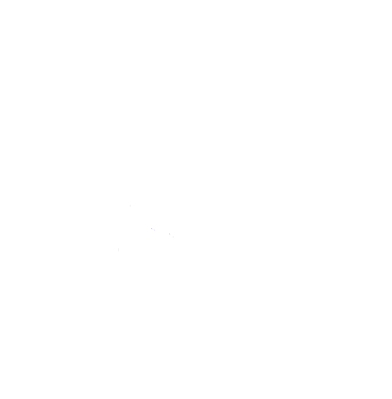 CCC(CC)c1cc(-c2ccc(F)c(F)c2)ccc1-n1ccc(C)n1